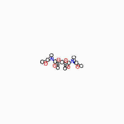 c1ccc2c(c1)Oc1cc(-n3c4ccccc4c4cc5c(cc43)oc3ccccc35)cc3c1B2c1cc2c(cc1O3)Oc1cc(-n3c4ccccc4c4cc5c(cc43)oc3ccccc35)cc3c1B2c1ccccc1O3